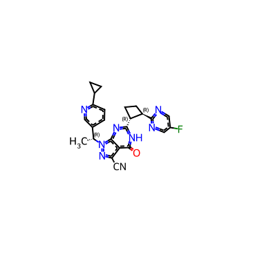 C[C@H](c1ccc(C2CC2)nc1)n1nc(C#N)c2c(=O)[nH]c([C@@H]3CC[C@H]3c3ncc(F)cn3)nc21